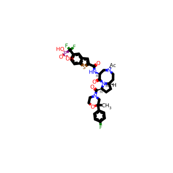 CC(=O)N1CC[C@H]2CC[C@@H](C(=O)N3CCOC(C)(c4ccc(F)cc4)C3)N2C(=O)[C@@H](NC(=O)c2cc3cc(C(F)(F)P(=O)(O)O)ccc3s2)C1